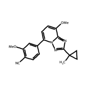 COc1cc(-c2ccc(OC)c3nc(C4(C)CC4)nn23)ccc1C#N